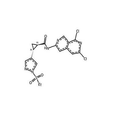 CCS(=O)(=O)n1cc([C@@H]2C[C@H]2C(=O)Nc2cc3cc(Cl)nc(Cl)c3cn2)cn1